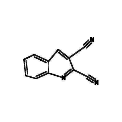 N#Cc1cc2ccccc2nc1C#N